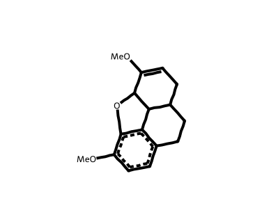 COC1=CCC2CCc3ccc(OC)c4c3C2C1O4